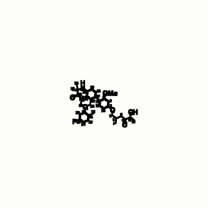 COc1cc(OCC(C)CC(=O)C(C)O)ccc1-c1ccc2c(c1COc1cc(F)ccc1C)N(C)C(=O)C(C)(C)N2